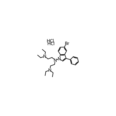 CCN(CC)CCN(CCN(CC)CC)n1cc(-c2ccccc2)c2cc(Br)ccc21.Cl.Cl